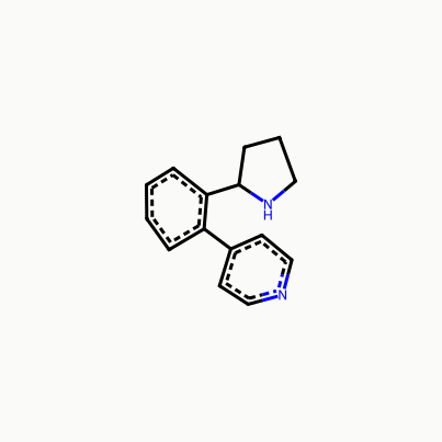 c1ccc(C2CCCN2)c(-c2ccncc2)c1